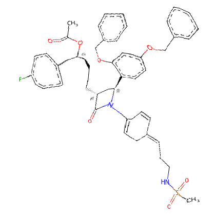 CC(=O)O[C@@H](CC[C@H]1C(=O)N(C2=CCC(=CCCNS(C)(=O)=O)C=C2)[C@@H]1c1ccc(OCc2ccccc2)cc1OCc1ccccc1)c1ccc(F)cc1